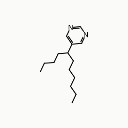 CCCCCCC(CCCC)c1cncnc1